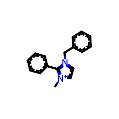 C[n+]1ccn(Cc2ccccc2)c1-c1ccccc1